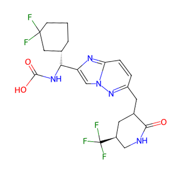 O=C(O)NC(c1cn2nc(CC3C[C@H](C(F)(F)F)CNC3=O)ccc2n1)[C@H]1CCCC(F)(F)C1